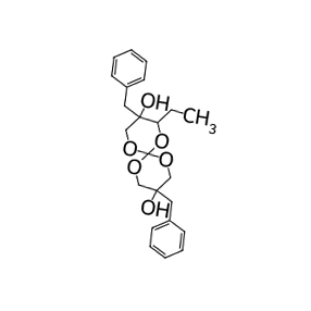 CCC1OC2(OCC(O)(Cc3ccccc3)CO2)OCC1(O)Cc1ccccc1